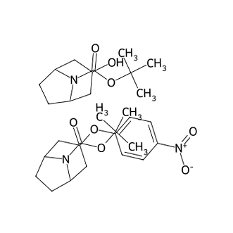 CC(C)(C)OC(=O)N1C2CCC1CC(O)C2.CC(C)(C)OC(=O)N1C2CCC1CC(Oc1ccc([N+](=O)[O-])cc1)C2